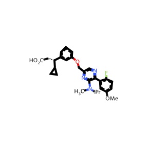 COc1ccc(F)c(-c2ncc(COc3cccc([C@@H](CC(=O)O)C4CC4)c3)nc2N(C)C(C)C)c1